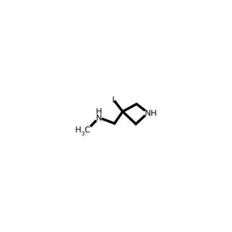 CNCC1(I)CNC1